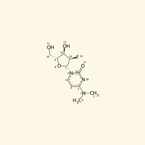 CN(C)c1ccn([C@@H]2O[C@H](CO)[C@@H](O)[C@H]2F)c(=O)n1